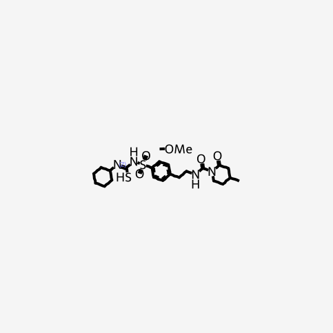 CC1CCN(C(=O)NCCc2ccc(S(=O)(=O)N/C(S)=N/C3CCCCC3)cc2)C(=O)C1.COC